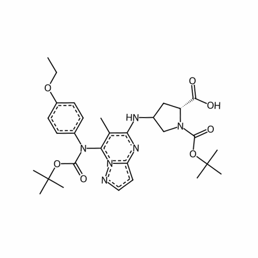 CCOc1ccc(N(C(=O)OC(C)(C)C)c2c(C)c(NC3C[C@H](C(=O)O)N(C(=O)OC(C)(C)C)C3)nc3ccnn23)cc1